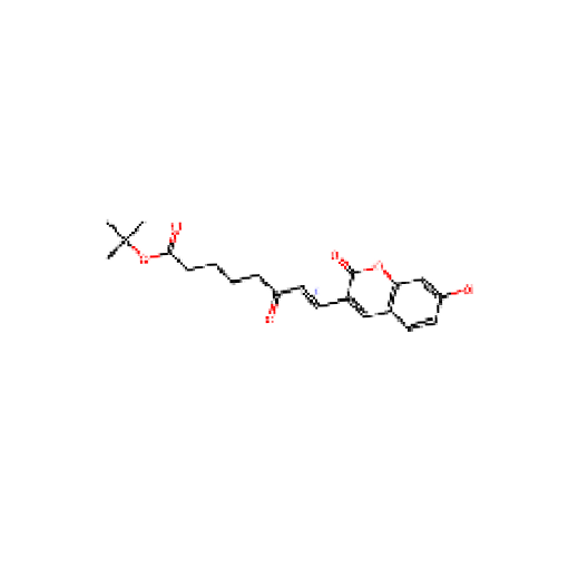 CC(C)(C)OC(=O)CCCCC(=O)/C=C/c1cc2ccc(O)cc2oc1=O